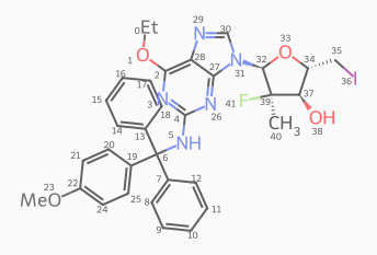 CCOc1nc(NC(c2ccccc2)(c2ccccc2)c2ccc(OC)cc2)nc2c1ncn2[C@H]1O[C@H](CI)[C@@H](O)[C@@]1(C)F